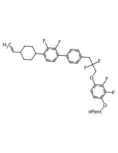 C=CC1CCC(c2ccc(-c3ccc(CC(F)(F)COc4ccc(OCCCCC)c(F)c4F)cc3)c(F)c2F)CC1